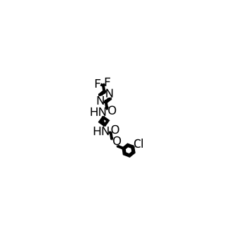 O=C(COCc1cccc(Cl)c1)NC12CC(NC(=O)c3cnc(C(F)F)cn3)(C1)C2